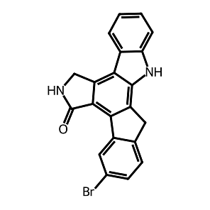 O=C1NCc2c1c1c(c3[nH]c4ccccc4c23)Cc2ccc(Br)cc2-1